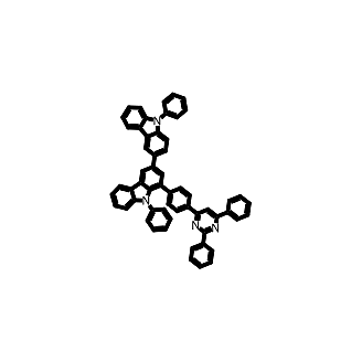 c1ccc(-c2cc(-c3ccc(-c4cc(-c5ccc6c(c5)c5ccccc5n6-c5ccccc5)cc5c6ccccc6n(-c6ccccc6)c45)cc3)nc(-c3ccccc3)n2)cc1